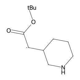 CC(C)(C)OC(=O)[CH]C1CCCNC1